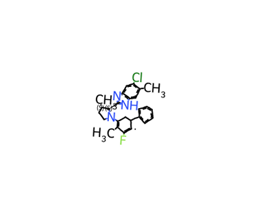 CC1=C(N2CC[C@H](C)[C@H]2c2nc3cc(Cl)c(C)cc3[nH]2)CC(c2ccccc2)[C]=C1F